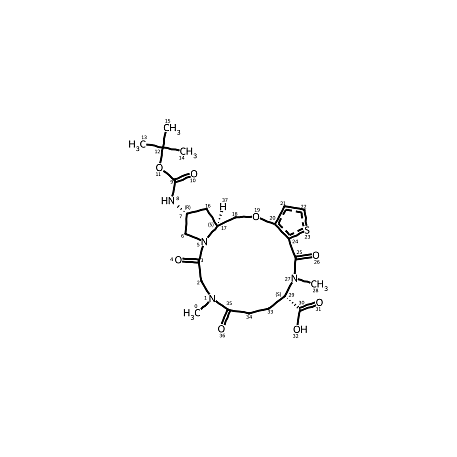 CN1CC(=O)N2C[C@H](NC(=O)OC(C)(C)C)C[C@H]2COc2ccsc2C(=O)N(C)[C@H](C(=O)O)CCC1=O